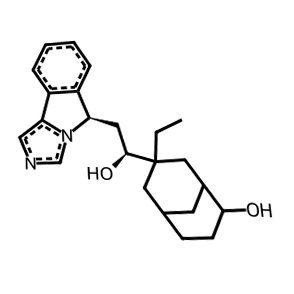 CCC1([C@@H](O)C[C@@H]2c3ccccc3-c3cncn32)CC2CCC(O)C(C2)C1